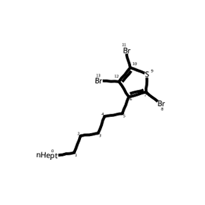 CCCCCCCCCCCCc1c(Br)sc(Br)c1Br